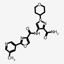 Cc1cncc(-c2nc(C(=O)Nc3cn(C4CCOCC4)nc3C(N)=O)co2)c1